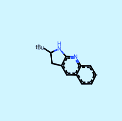 CC(C)(C)C1Cc2cc3cc[c]cc3nc2N1